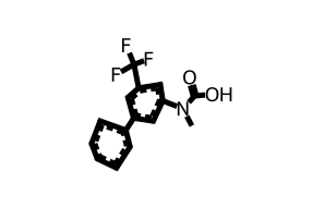 CN(C(=O)O)c1cc(-c2ccccc2)cc(C(F)(F)F)c1